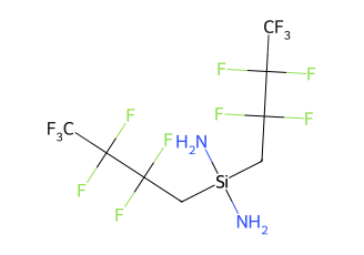 N[Si](N)(CC(F)(F)C(F)(F)C(F)(F)F)CC(F)(F)C(F)(F)C(F)(F)F